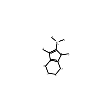 CC1=[C]([Zr]([CH3])[CH3])C(C)C2=C1CCCC2